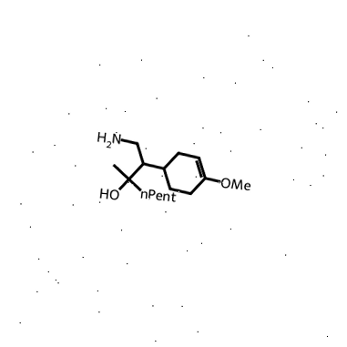 CCCCCC(C)(O)C(CN)C1CC=C(OC)CC1